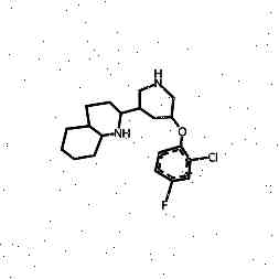 Fc1ccc(OC2CNCC(C3CCC4CCCCC4N3)C2)c(Cl)c1